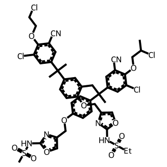 CCS(=O)(=O)Nc1nc(COc2ccc(C(C)(C)c3cc(Cl)c(OCCCl)c(C#N)c3)cc2CC(C)(c2ccc(OCc3coc(NS(C)(=O)=O)n3)cc2)c2cc(Cl)c(OCC(C)Cl)c(C#N)c2)co1